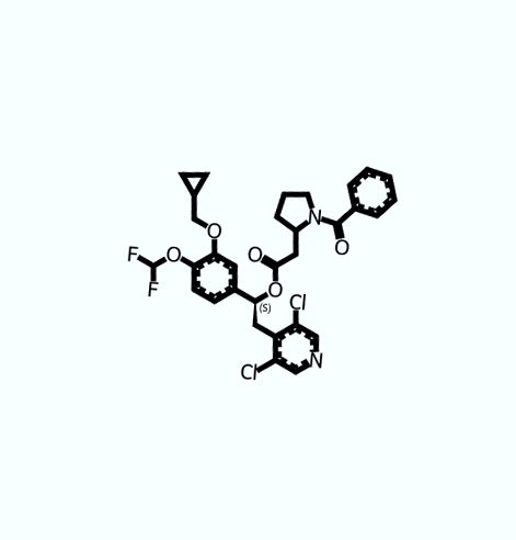 O=C(CC1CCCN1C(=O)c1ccccc1)O[C@@H](Cc1c(Cl)cncc1Cl)c1ccc(OC(F)F)c(OCC2CC2)c1